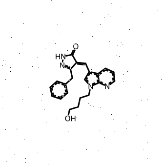 O=C1NN=C(Cc2ccccc2)/C1=C\c1cn(CCCCO)c2ncccc12